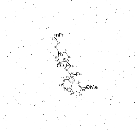 CCCSCCN1CC[C@@H](CC[C@@H](F)c2ccnc3ccc(OC)cc23)[C@@H](C(=O)O)C1